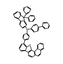 c1ccc(-c2ccc(N(c3ccc(-c4cccc5c4sc4c5ccc5ccc6ccccc6c54)cc3)c3ccc4c(c3)C(c3ccccc3)(c3ccccc3)c3ccccc3-4)cc2)cc1